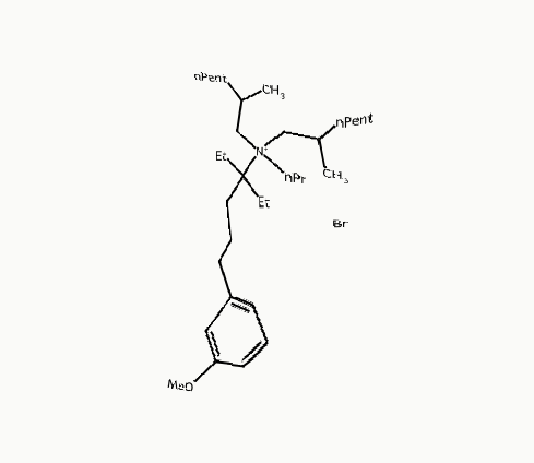 CCCCCC(C)C[N+](CCC)(CC(C)CCCCC)C(CC)(CC)CCCc1cccc(OC)c1.[Br-]